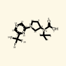 CC(C)(C)N(C(=O)O)C1CCN(c2cncc(C(F)(F)F)n2)C1